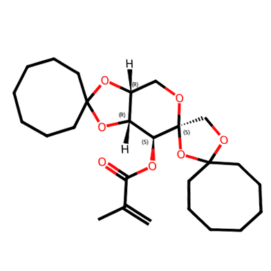 C=C(C)C(=O)O[C@H]1[C@@H]2OC3(CCCCCCC3)O[C@@H]2CO[C@]12COC1(CCCCCCC1)O2